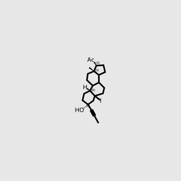 CC#C[C@@]1(O)CC[C@@H]2C3CC[C@@]4(C)C(CC[C@@H]4C(C)=O)C3CCC2(I)C1